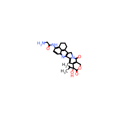 C=C(C)[C@@]1(O)C(=O)OCc2c1cc1n(c2=O)Cc2c-1nc1ccc(NC(=O)CN)c3c1c2CCC3